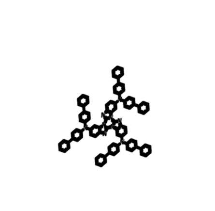 c1ccc(-c2ccc(N(c3ccc(-c4ccccc4)cc3)c3ccc4nc5n(c4c3)c3nc4ccc(N(c6ccc(-c7ccccc7)cc6)c6ccc(-c7ccccc7)cc6)cc4n3c3nc4ccc(N(c6ccc(-c7ccccc7)cc6)c6ccc(-c7ccccc7)cc6)cc4n53)cc2)cc1